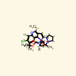 CSc1nc2c(F)c(Br)c(C)cc2c2c1cc([C@H]1CCCN1C(C)=O)n2[C@H]1[C@@H]2C[C@H]1N(C(=O)OC(C)(C)C)C2